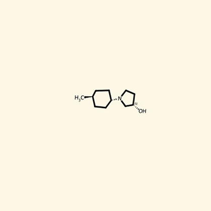 C[C@H]1CC[C@H](N2CC[C@H](O)C2)CC1